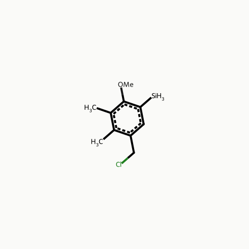 COc1c([SiH3])cc(CCl)c(C)c1C